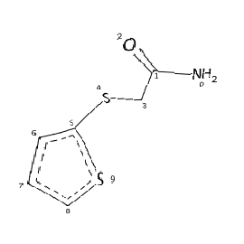 NC(=O)CSc1cccs1